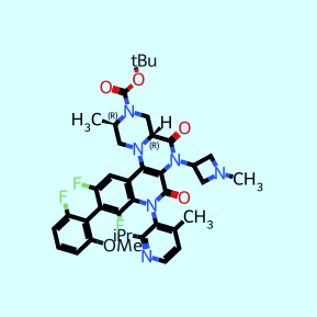 COc1cccc(F)c1-c1c(F)cc2c3c(c(=O)n(-c4c(C)ccnc4C(C)C)c2c1F)N(C1CN(C)C1)C(=O)[C@H]1CN(C(=O)OC(C)(C)C)[C@H](C)CN31